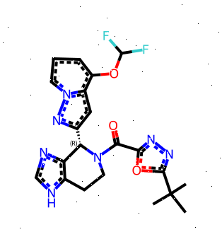 CC(C)(C)c1nnc(C(=O)N2CCc3[nH]cnc3[C@@H]2c2cc3c(OC(F)F)cccn3n2)o1